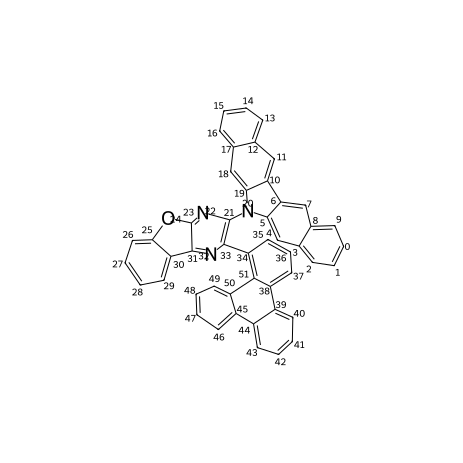 c1ccc2cc3c(cc2c1)c1cc2ccccc2cc1n3-c1nc2oc3ccccc3c2nc1-c1cccc2c3ccccc3c3ccccc3c12